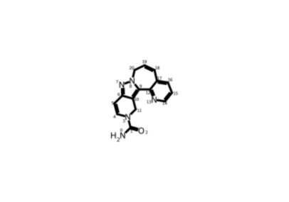 NC(=O)N1C=Cc2nn3c(c2C1)-c1ncccc1C=CC3